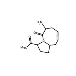 COC(=O)C1CCC2CC=CCC(N)C(=O)N21